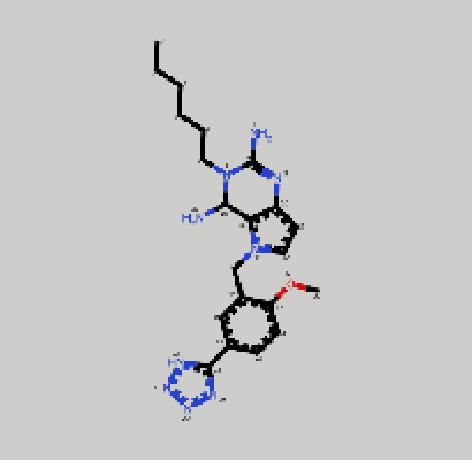 CCCCCCN1C(N)=Nc2ccn(Cc3cc(-c4nnn[nH]4)ccc3OC)c2C1N